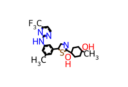 Cc1cc(Nc2nccc(C(F)(F)F)n2)cc(C2CN=C(C3(O)CCC(C)(O)CC3)S2)c1